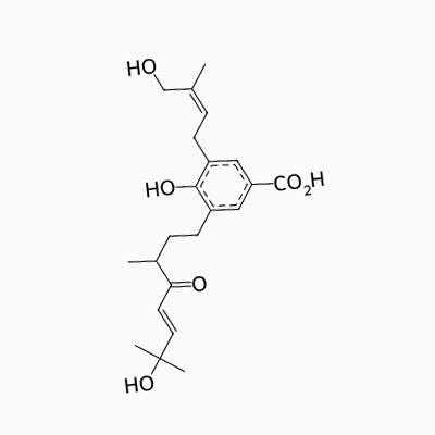 CC(=CCc1cc(C(=O)O)cc(CCC(C)C(=O)C=CC(C)(C)O)c1O)CO